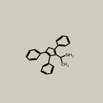 CC([SiH3])C1=C(c2ccccc2)CC(c2ccccc2)=C1c1ccccc1